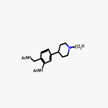 CC(=O)NCc1ccc(C2CCN(C(=O)O)CC2)cc1NC(C)=O